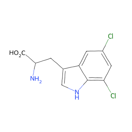 NC(Cc1c[nH]c2c(Cl)cc(Cl)cc12)C(=O)O